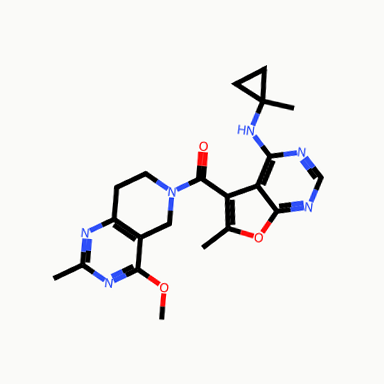 COc1nc(C)nc2c1CN(C(=O)c1c(C)oc3ncnc(NC4(C)CC4)c13)CC2